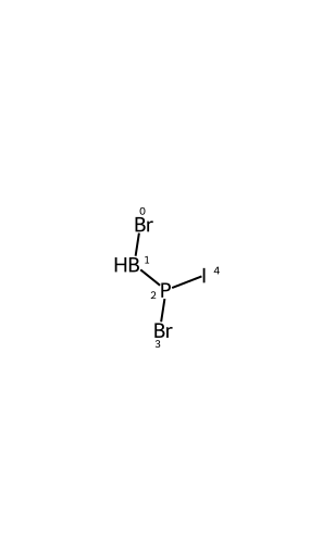 BrBP(Br)I